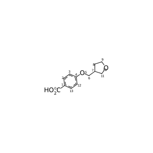 O=C(O)c1ccc(OCC2CCOC2)cc1